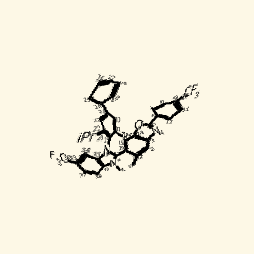 Cc1cc2nc(-c3ccc(C(F)(F)F)cc3)oc2cc1-c1n(-c2c(C(C)C)cc(-c3ccccc3)cc2C(C)C)c2cc(C(F)(F)F)ccc2[n+]1C